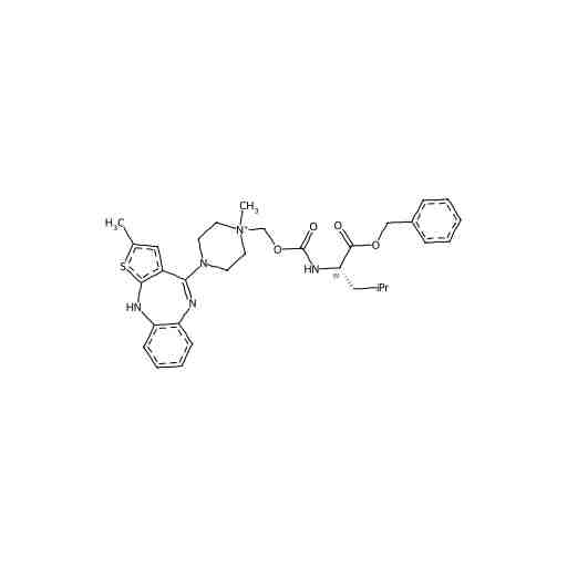 Cc1cc2c(s1)Nc1ccccc1N=C2N1CC[N+](C)(COC(=O)N[C@@H](CC(C)C)C(=O)OCc2ccccc2)CC1